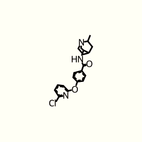 CC1CC2CCN1CC2NC(=O)c1ccc(Oc2cccc(Cl)n2)cc1